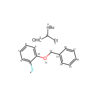 CCCCC(C=O)CC.Fc1ccccc1OCc1ccccc1